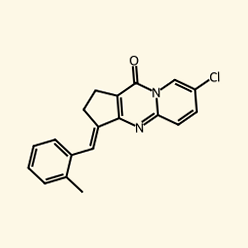 Cc1ccccc1C=C1CCc2c1nc1ccc(Cl)cn1c2=O